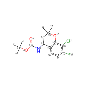 CC(C)(C)OC(=O)NC1CC(C)(C)Oc2c1ccc(F)c2Cl